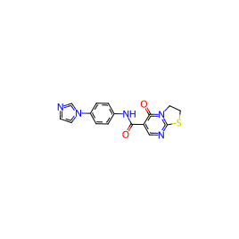 O=C(Nc1ccc(-n2ccnc2)cc1)c1cnc2n(c1=O)CCS2